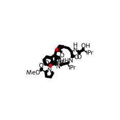 COC(=O)[C@@H]1CCCN1C(=O)c1nc2oc1C13c4ccccc4N[C@H]1Oc1ccc(cc13)C[C@H](NC(=O)[C@@H](O)C(C)C)C(=O)N[C@H]2C(C)C